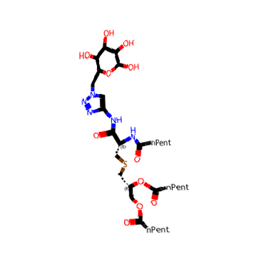 CCCCCC(=O)N[C@H](CSC[C@@H](COC(=O)CCCCC)OC(=O)CCCCC)C(=O)Nc1cn(CC2OC(O)C(O)C(O)C2O)nn1